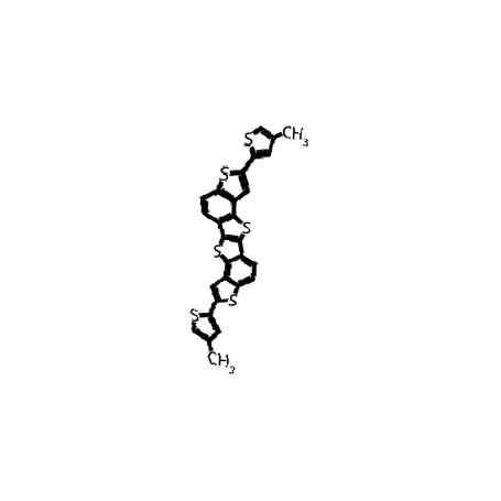 Cc1csc(-c2cc3c(ccc4c3sc3c5ccc6sc(-c7cc(C)cs7)cc6c5sc43)s2)c1